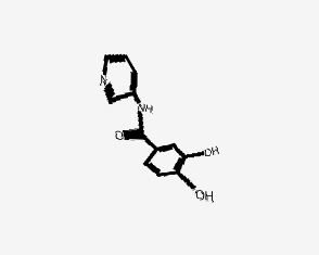 O=C(Nc1cccnc1)c1ccc(O)c(O)c1